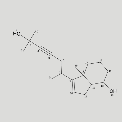 CC(CC#CC(C)(C)O)C1=CCC2C(O)CCCC12C